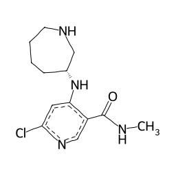 CNC(=O)c1cnc(Cl)cc1N[C@@H]1CCCCNC1